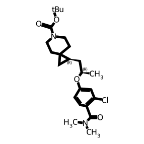 C[C@H](C[C@H]1CC12CCN(C(=O)OC(C)(C)C)CC2)Oc1ccc(C(=O)N(C)C)c(Cl)c1